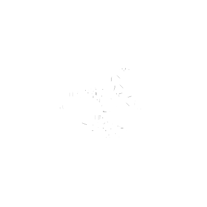 CCC(C)N(C(=O)O)[C@@H]1C(=O)N2[C@@H](C[C@@](C)(Oc3nc(-c4ccc5c(c4)OCCO5)cc4cc(OC)ccc34)C2(F)F)C(=O)N[C@]2(C(=O)NS(=O)(=O)C3(C)CC3)C[C@H]2/C=C\CC[C@H](C)C[C@H]1C